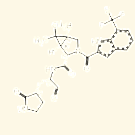 CC1(C)[C@@H]2[C@@H](C(=O)N[C@H](C=O)C[C@@H]3CCNC3=O)N(C(=O)c3cc4cccc(C(F)(F)F)c4[nH]3)C[C@@H]21